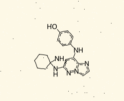 NC1(Nc2cc(Nc3ccc(O)cc3)c3nccn3n2)CCCCC1